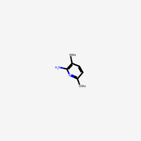 CNc1ccc(OC)nc1N